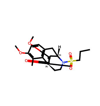 CCCS(=O)(=O)N1CC[C@@]23CC(=O)C(OC)=CC2[C@@H]1Cc1ccc(OC)c(C)c13